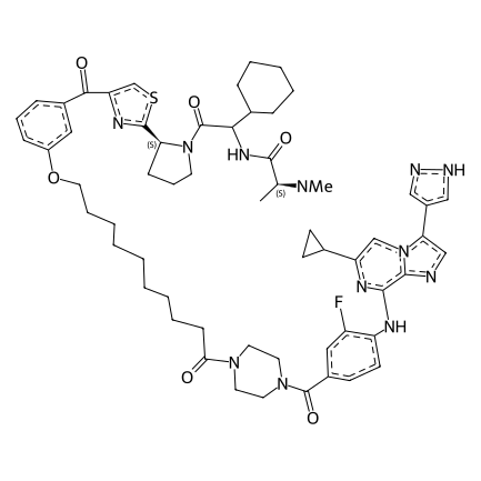 CN[C@@H](C)C(=O)NC(C(=O)N1CCC[C@H]1c1nc(C(=O)c2cccc(OCCCCCCCCCC(=O)N3CCN(C(=O)c4ccc(Nc5nc(C6CC6)cn6c(-c7cn[nH]c7)cnc56)c(F)c4)CC3)c2)cs1)C1CCCCC1